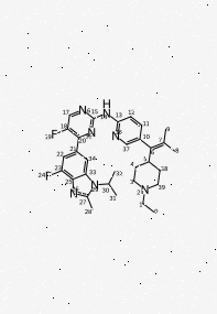 CCN1CCC(C(=C(C)C)c2ccc(Nc3ncc(F)c(-c4cc(F)c5nc(C)n(C(C)C)c5c4)n3)nc2)CC1